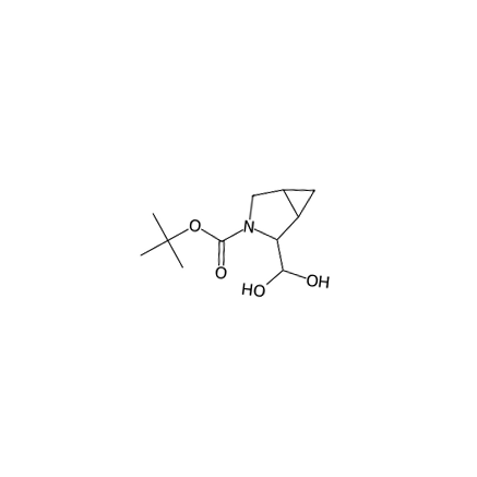 CC(C)(C)OC(=O)N1CC2CC2C1C(O)O